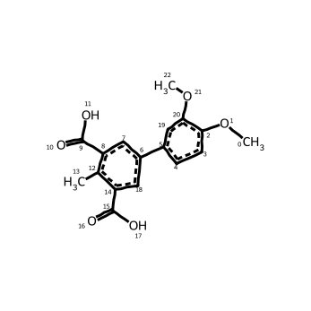 COc1ccc(-c2cc(C(=O)O)c(C)c(C(=O)O)c2)cc1OC